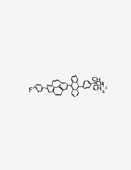 CC(C)(C)c1ccc(-c2c3ccccc3c(-c3cc4ccc5cc(-c6ccc(F)cc6)cc6ccc(c3)c4c56)c3ccccc23)cc1